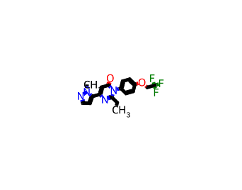 CCc1nc(-c2ccnn2C)cc(=O)n1-c1ccc(OCC(F)(F)F)cc1